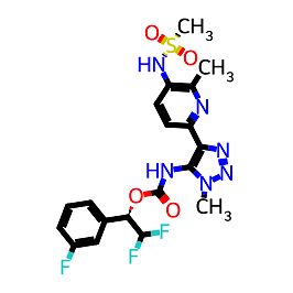 Cc1nc(-c2nnn(C)c2NC(=O)O[C@@H](c2cccc(F)c2)C(F)F)ccc1NS(C)(=O)=O